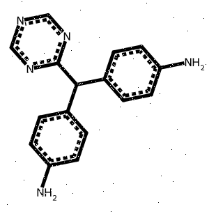 Nc1ccc(C(c2ccc(N)cc2)c2ncncn2)cc1